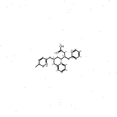 CC1C=CC(CN(CCN(CC(=O)O)Cc2ccccn2)Cc2ccccn2)=NC1